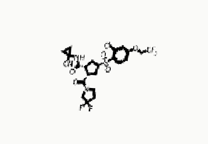 N#CC1(NC(=O)[C@@H]2C[C@@H](S(=O)(=O)c3ccc(OCC(F)(F)F)cc3Cl)C[C@H]2C(=O)N2CCC(F)(F)C2)CC1